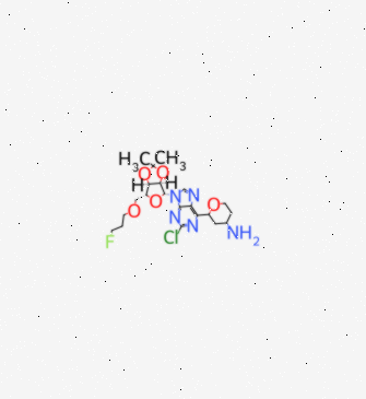 CC1(C)O[C@@H]2[C@H](O1)[C@@H](COCCCF)O[C@H]2n1cnc2c(C3CC(N)CCO3)nc(Cl)nc21